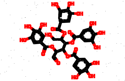 O=CC(OC(=O)c1cc(O)c(O)c(O)c1)C(OC(=O)c1cc(O)c(O)c(O)c1)C(OC(=O)c1cc(O)c(O)c(O)c1)C(CO)OC(=O)c1cc(O)c(O)c(O)c1